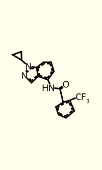 O=C(Nc1cccc2c1cnn2C1CC1)c1ccccc1C(F)(F)F